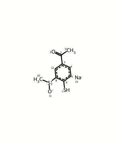 CC(=O)c1ccc(S)c([S+](C)[O-])c1.[Na]